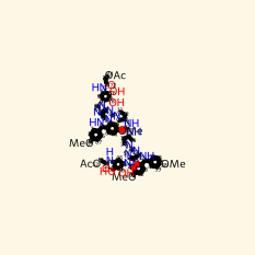 COc1ccc(C(Nc2nc(N3CC[C@@H](NC(=O)N[C@@H]4CCN(c5nc(NC(c6ccc(OC)cc6)c6ccc(OC)cc6)c6ncn(C7CC(NC(=O)COC(C)=O)C(O)C7O)c6n5)C4)C3)nc3c2ncn3C2CC(NC(=O)COC(C)=O)C(O)C2O)c2ccc(OC)cc2)cc1